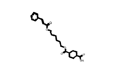 O=C(C=Cc1ccccc1)OCCCCCCOC(=O)C1CCC(C(=O)O)CC1